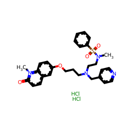 CN(CCN(CCCOc1ccc2c(ccc(=O)n2C)c1)Cc1ccncc1)S(=O)(=O)c1ccccc1.Cl.Cl